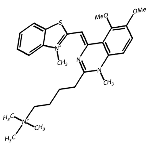 COc1ccc2c(c1OC)/C(=C/c1sc3ccccc3[n+]1C)N=C(CCCC[N+](C)(C)C)N2C